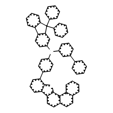 c1ccc(-c2cccc(N(c3ccc(-c4cccc5c4sc4c5ccc5ccc6ccccc6c54)cc3)c3ccc4c(c3)C(c3ccccc3)(c3ccccc3)c3ccccc3-4)c2)cc1